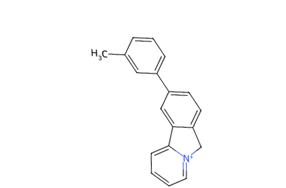 Cc1cccc(-c2ccc3c(c2)-c2cccc[n+]2C3)c1